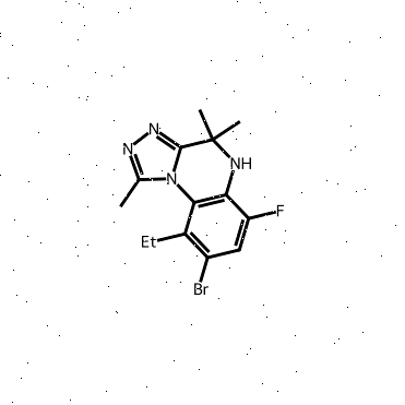 CCc1c(Br)cc(F)c2c1-n1c(C)nnc1C(C)(C)N2